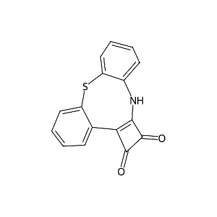 O=c1c(=O)c2c1[nH]c1ccccc1sc1ccccc12